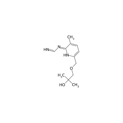 Cc1ccc(COCC(C)(C)O)[nH]/c1=N\C=N